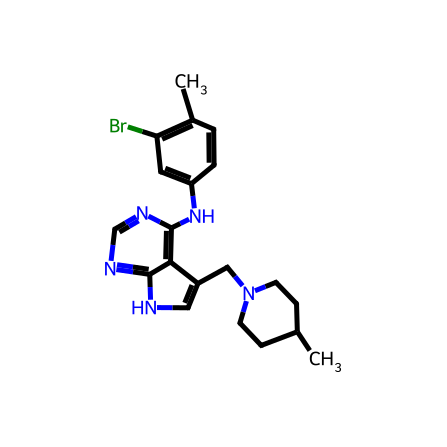 Cc1ccc(Nc2ncnc3[nH]cc(CN4CCC(C)CC4)c23)cc1Br